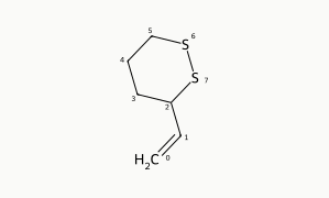 C=CC1CCCSS1